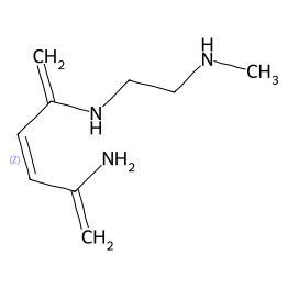 C=C(N)/C=C\C(=C)NCCNC